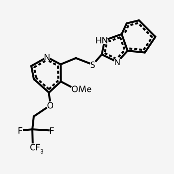 COc1c(OCC(F)(F)C(F)(F)F)ccnc1CSc1nc2ccccc2[nH]1